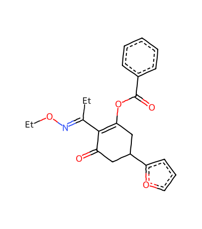 CCON=C(CC)C1=C(OC(=O)c2ccccc2)CC(c2ccco2)CC1=O